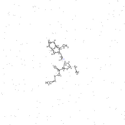 C=CCOC(=O)N1C[C@@H](SC(C)=O)C[C@H]1/C=C/c1sc2cncn2c1C